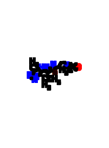 Cc1cc(-c2[nH]c3nc(C4CCN(CC5(C)COC5)CC4)sc3c2C(C)C)cn2ncnc12